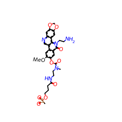 COc1cc2c(cc1OC(=O)N(C)CCNC(=O)CCCOS(C)(=O)=O)c(=O)n(CCN)c1c3cc4c(cc3ncc21)OCO4